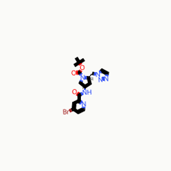 CC(C)(C)OC(=O)N1C[C@H](NC(=O)c2cc(Br)ccn2)C[C@H]1Cn1ccnn1